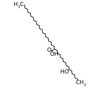 CCCCCCCCCCCCCCCCCCCCCCC(CCCCCCCCCC(O)CCCCCC)C(=O)O